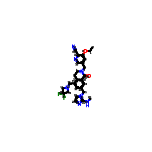 CCOc1cc(CN2CCc3c(CN4CC(F)(F)C4)cc(Cn4ccnc4NC)cc3C2=O)cnc1C#N